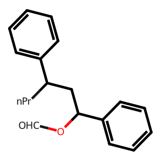 CCCC(CC(OC=O)c1ccccc1)c1ccccc1